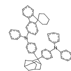 c1ccc(N(c2ccccc2)c2ccc(C3(c4ccc(N(c5ccccc5)c5ccc6c(c5)-c5ccccc5C65CCCCC5)cc4)C4CC5CC(C4)CC3C5)cc2)cc1